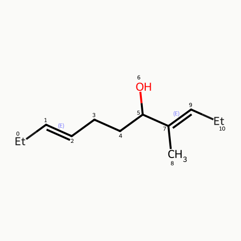 CC/C=C/CCC(O)/C(C)=C/CC